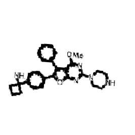 COc1nc(N2CCNCC2)nc2oc(-c3ccc(C4(N)CCC4)cc3)c(-c3ccccc3)c12